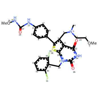 COCCN(C)Cc1c(-c2ccc(NC(=O)NOC)cc2)sc2c1c(=O)[nH]c(=O)n2Cc1c(F)cccc1F